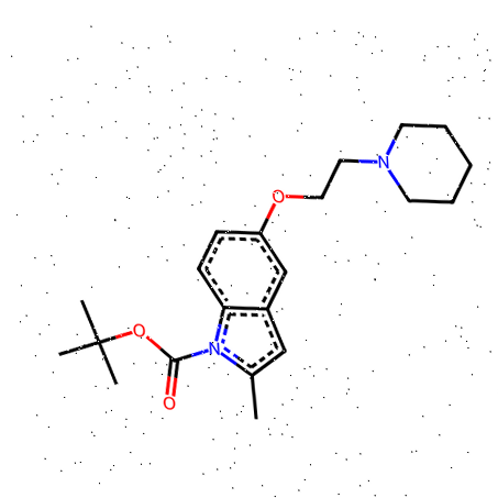 Cc1cc2cc(OCCN3CCCCC3)ccc2n1C(=O)OC(C)(C)C